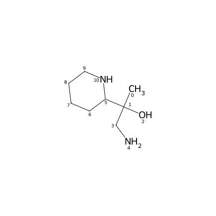 CC(O)(CN)C1CCCCN1